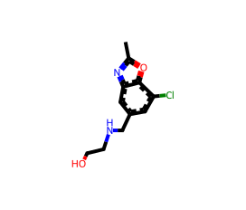 Cc1nc2cc(CNCCO)cc(Cl)c2o1